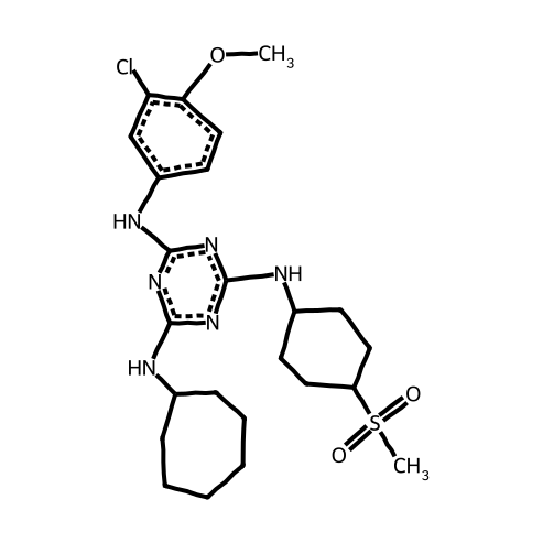 COc1ccc(Nc2nc(NC3CCCCCC3)nc(NC3CCC(S(C)(=O)=O)CC3)n2)cc1Cl